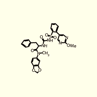 COc1ncc(-c2ccccc2S(=O)(=O)NC(=O)NC(Cc2ccccc2)C(=O)N(C)c2ccc3c(c2)OCO3)cn1